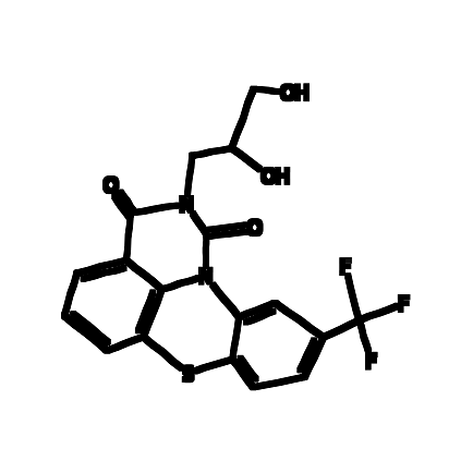 O=c1c2cccc3c2n(c(=O)n1CC(O)CO)-c1cc(C(F)(F)F)ccc1S3